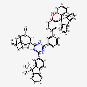 CC1(C)c2ccccc2-c2ccc(-c3nc(-c4cccc(-c5ccc6c(c5)C5(c7ccccc7O6)c6ccccc6-c6ccccc65)c4)nc(C45CC6C[C@@H]7C[C@@H](C4)CC67C5)n3)cc21